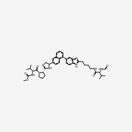 COC(=O)N[C@H](C(=O)N1CCC[C@H]1C1=NCC(c2ccc3c(-c4ccc5[nH]c(CCCCNC(=O)[C@@H](NC=O)C(C)C)nc5c4)cccc3c2)N1)C(C)C